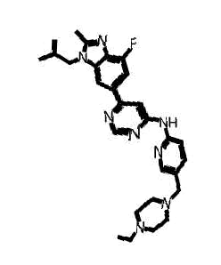 CCN1CCN(Cc2ccc(Nc3cc(-c4cc(F)c5nc(C)n(CC(C)C)c5c4)ncn3)nc2)CC1